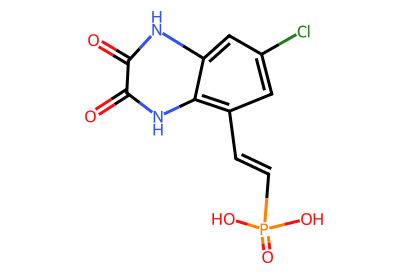 O=c1[nH]c2cc(Cl)cc(C=CP(=O)(O)O)c2[nH]c1=O